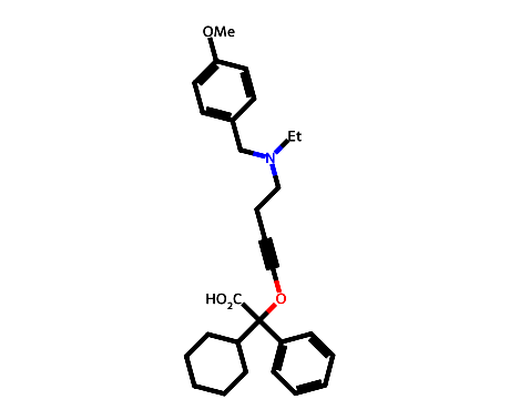 CCN(CCC#COC(C(=O)O)(c1ccccc1)C1CCCCC1)Cc1ccc(OC)cc1